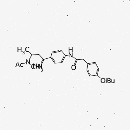 CC(=O)N(C)C(C)CC(=N)c1ccc(NC(=O)Cc2ccc(OCC(C)C)cc2)cc1